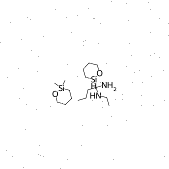 CCCC(N)(NCC)[SiH]1CCCCO1.C[Si]1(C)CCCCO1